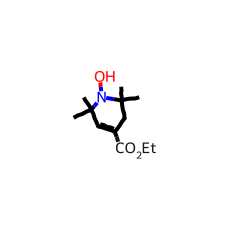 CCOC(=O)C1=CC(C)(C)N(O)C(C)(C)C1